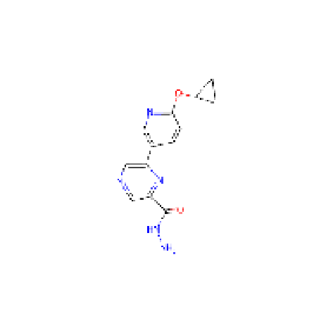 NNC(=O)c1cncc(-c2ccc(OC3CC3)nc2)n1